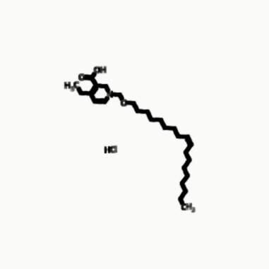 CCCCCCCC/C=C\CCCCCCCCOCN1C=CC(CC)=C(C(=O)O)C1.Cl